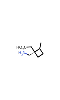 CC1CC[C@@]1(CN)CC(=O)O